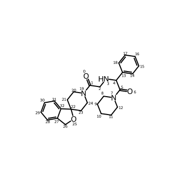 O=C(CNC(C(=O)N1CCCCC1)c1ccccc1)N1CCC2(CC1)OCc1ccccc12